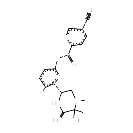 CC1(C)C(=N)NC(c2nc(NC(=O)c3ccc(C#N)cn3)ccc2F)C[S+]1[O-]